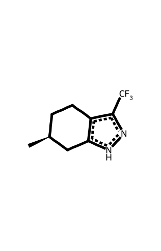 C[C@H]1CCc2c(C(F)(F)F)n[nH]c2C1